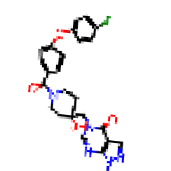 Cn1ncc2c(=O)n(CC3(O)CCN(C(=O)c4ccc(Oc5ccc(F)cc5)cc4)CC3)cnc21